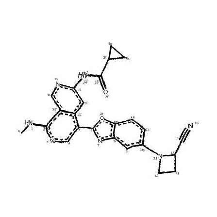 CNc1ncc(-c2nc3cc(N4CCC4C#N)ccc3o2)c2cc(NC(=O)C3CC3)ncc12